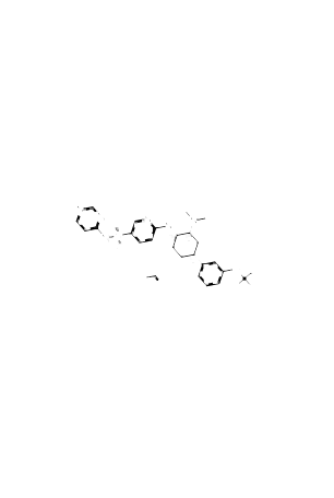 CN(C)[C@H]1C[C@@H](c2cccc(OC(F)(F)F)c2)CC[C@@H]1Nc1ccc(S(=O)(=O)Nc2ccncn2)cn1.O=CO